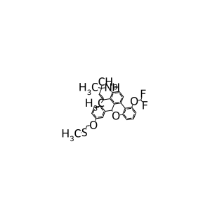 CSCOc1cccc(C2Oc3cccc(OC(F)F)c3-c3ccc4c(c32)C(C)=CC(C)(C)N4)c1